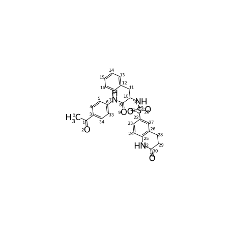 CC(=O)c1ccc(NC(=O)C(Cc2ccccc2)NS(=O)(=O)c2ccc3c(c2)CCC(=O)N3)cc1